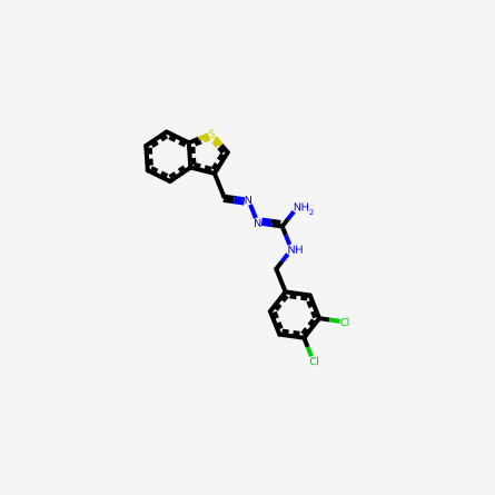 N/C(=N\N=C\c1csc2ccccc12)NCc1ccc(Cl)c(Cl)c1